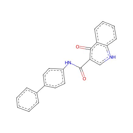 O=C(Nc1ccc(-c2ccccc2)cc1)c1c[nH]c2ccccc2c1=O